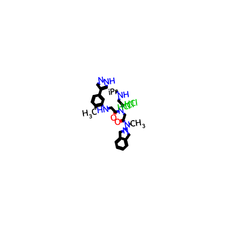 Cc1ccc(-c2cn[nH]c2)cc1NCC(=O)N(CCNC(C)C)CC(=O)N(C)N1Cc2ccccc2C1.Cl.Cl.Cl